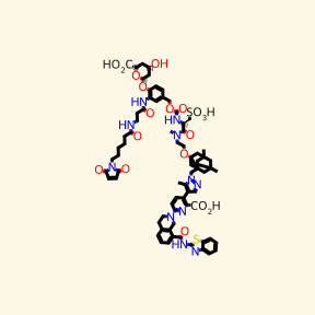 Cc1c(-c2ccc(N3CCc4cccc(C(=O)Nc5nc6ccccc6s5)c4C3)nc2C(=O)O)cnn1CC12CC3(C)CC(C)(C1)CC(OCCN(C)C(=O)[C@H](CS(=O)(=O)O)NC(=O)OCc1ccc(O[C@H]4C[C@@H](O)C[C@@H](C(=O)O)O4)c(NC(=O)CCNC(=O)CCCCCN4C(=O)C=CC4=O)c1)(C3)C2